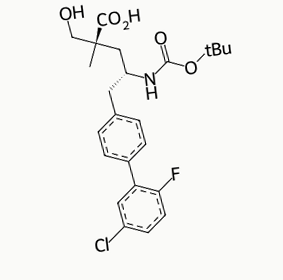 CC(C)(C)OC(=O)N[C@H](Cc1ccc(-c2cc(Cl)ccc2F)cc1)C[C@](C)(CO)C(=O)O